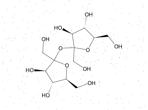 OC[C@@H]1OC(CO)(OC2(CO)O[C@H](CO)[C@@H](O)[C@@H]2O)[C@H](O)[C@H]1O